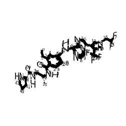 CCc1cc(Nc2nccn3c(-c4cn(CC(F)F)nc4C(F)(F)F)cnc23)ccc1C(=O)N[C@H](C)CNC(=O)[C@@H]1CCCN1